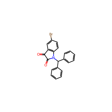 O=C1C(=O)N(C(c2ccccc2)c2ccccc2)c2ccc(Br)cc21